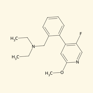 CCN(CC)Cc1ccccc1-c1cc(OC)ncc1F